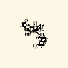 Cc1ccc2cccc(C(=O)NC3CN4C(=N)N[C@@H](CN5C(=O)CCC5=O)C5NC(=N)NC54C3(O)O)c2c1